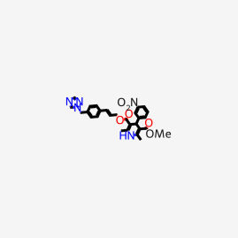 COC(=O)C1=C(C)NC(C)=C(C(=O)OCC=Cc2ccc(Cn3cncn3)cc2)C1c1cccc([N+](=O)[O-])c1